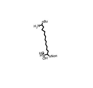 CCCCCCCCCC(CCCCCCCCCCCC(N)CCCC)[SiH](O)O